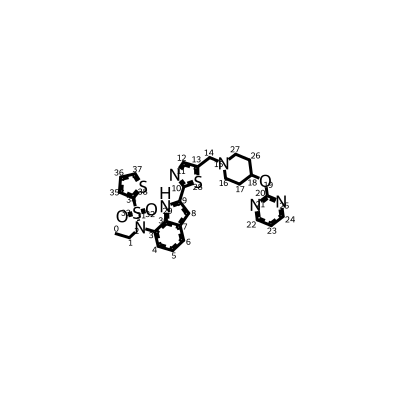 CCN(c1cccc2cc(-c3ncc(CN4CCC(Oc5ncccn5)CC4)s3)[nH]c12)S(=O)(=O)c1cccs1